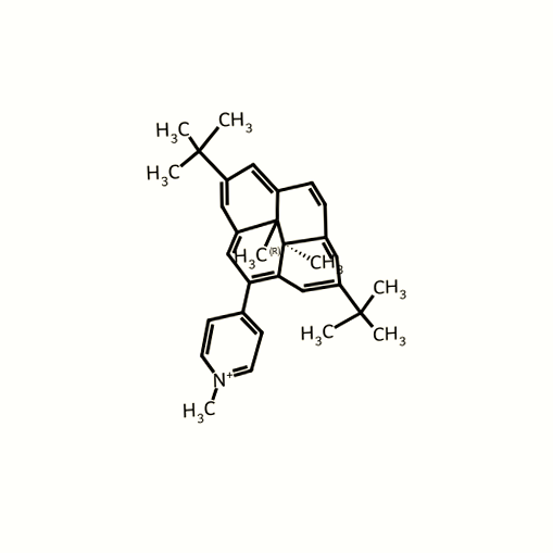 C[n+]1ccc(C2=C3C=C(C(C)(C)C)C=C4C=CC5=CC(C(C)(C)C)=CC(=C2)C5(C)[C@@]43C)cc1